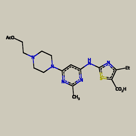 CCc1nc(Nc2cc(N3CCN(CCOC(C)=O)CC3)nc(C)n2)sc1C(=O)O